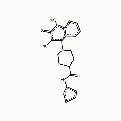 Cn1c(=O)c(C#N)c(N2CCC(C(=O)Nc3cccs3)CC2)c2ccccc21